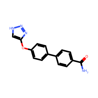 NC(=O)c1ccc(-c2ccc(Oc3c[nH]nn3)cc2)cc1